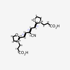 N#CC(=C\C=C1/OCCN1CCC(=O)O)/C=C/C1=[N+](CCC(=O)O)CCO1